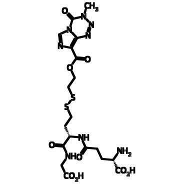 Cn1nnc2c(C(=O)OCCSSCC[C@H](NC(=O)CC[C@H](N)C(=O)O)C(=O)NCC(=O)O)ncn2c1=O